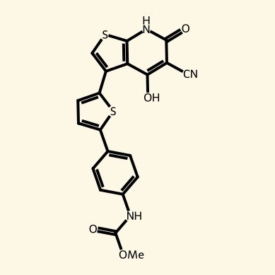 COC(=O)Nc1ccc(-c2ccc(-c3csc4[nH]c(=O)c(C#N)c(O)c34)s2)cc1